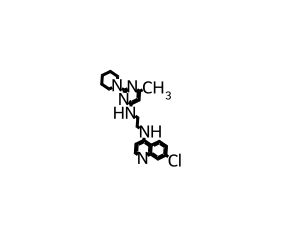 Cc1cc(NCCNc2ccnc3cc(Cl)ccc23)nc(N2CCCCC2)n1